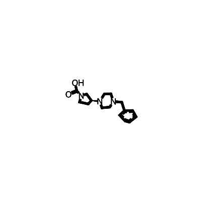 O=C(O)N1CC[C@H](N2CCN(Cc3ccccc3)CC2)C1